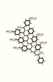 CC(CC(CC(CC(CC(CC(CC(CC(C)c1ccccc1)c1ccc(S(=O)(=O)O)cc1)c1ccc(S(=O)(=O)O)cc1)c1ccc(S(=O)(=O)O)cc1)c1ccc(S(=O)(=O)O)cc1)c1ccccc1)c1ccc(S(=O)(=O)O)cc1)c1ccc(S(=O)(=O)O)cc1